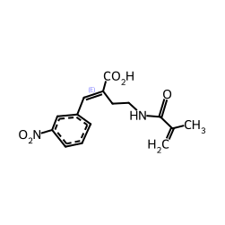 C=C(C)C(=O)NCC/C(=C\c1cccc([N+](=O)[O-])c1)C(=O)O